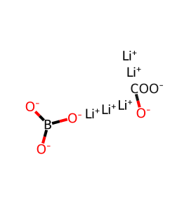 O=C([O-])[O-].[Li+].[Li+].[Li+].[Li+].[Li+].[O-]B([O-])[O-]